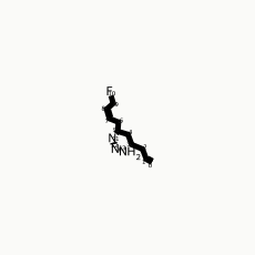 C=CCCCC(C/C=C\CF)/N=N\N